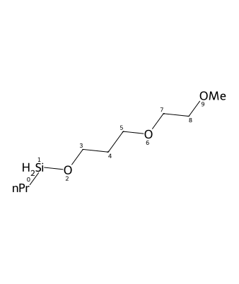 CCC[SiH2]OCCCOCCOC